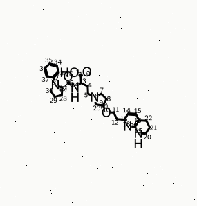 O=C(O)C(CCN1CC[C@@H](OCCc2ccc3c(n2)NCCC3)C1)NC(=O)[C@@H]1CCCN1c1ccccc1